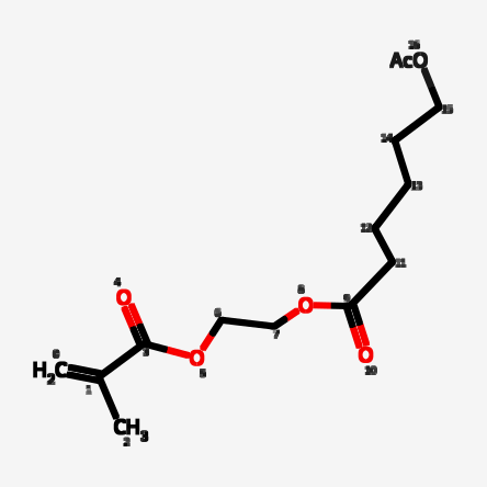 C=C(C)C(=O)OCCOC(=O)CCCCCOC(C)=O